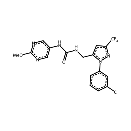 COc1ncc(NC(=O)NCc2cc(C(F)(F)F)nn2-c2cccc(Cl)c2)cn1